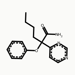 CCCCC(Oc1ccccc1)(C(N)=O)c1ccncn1